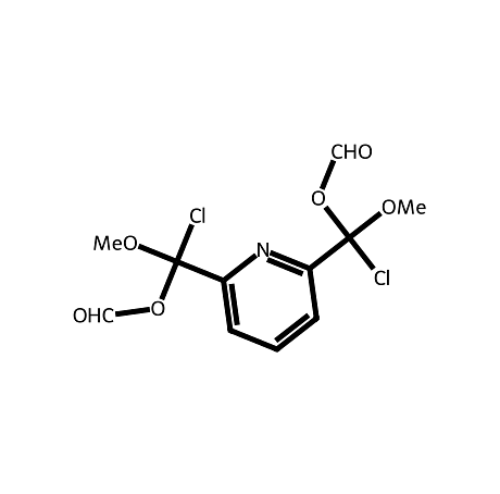 COC(Cl)(OC=O)c1cccc(C(Cl)(OC)OC=O)n1